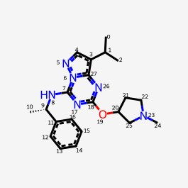 CC(C)c1cnn2c(N[C@@H](C)c3ccccc3)nc(OC3CCN(C)C3)nc12